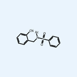 CC(=O)N(Cc1ccccc1C#N)S(=O)(=O)c1ccccc1